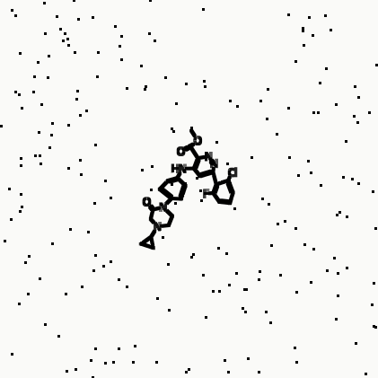 COC(=O)c1nnc(-c2c(F)cccc2Cl)cc1Nc1ccc(N2CCN(C3CC3)CC2=O)cc1